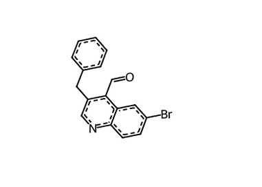 O=Cc1c(Cc2ccccc2)cnc2ccc(Br)cc12